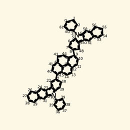 c1ccc(-n2c3ccc(-c4ccc5ccc6c(-c7ccc8c(c7)c7cc9ccccc9cc7n8-c7ccccc7)ccc7ccc4c5c76)cc3c3cc4ccccc4cc32)cc1